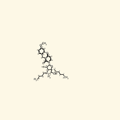 CCCCOC[C@@]1([C@H](C)O)O[C@@H](n2ccc(=O)n(Cc3ccc(OC)cc3)c2=O)[C@H](F)[C@@H]1OCCCC